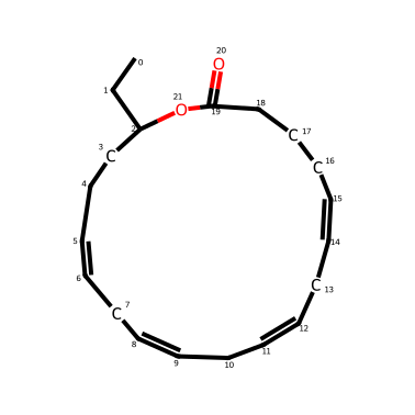 CCC1CC/C=C\C/C=C\C/C=C\C/C=C/CCCC(=O)O1